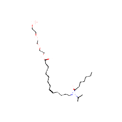 CCCCCCC(=O)N(CCCC/C=C\CCCCCCC(=O)OCCOCCOCCO)C(C)C